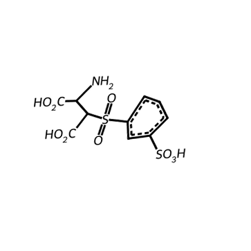 NC(C(=O)O)C(C(=O)O)S(=O)(=O)c1cccc(S(=O)(=O)O)c1